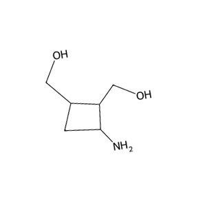 NC1CC(CO)C1CO